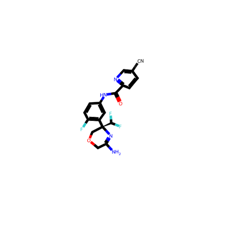 N#Cc1ccc(C(=O)Nc2ccc(F)c([C@@]3(C(F)F)COCC(N)=N3)c2)nc1